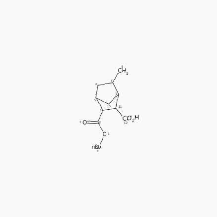 CCCCOC(=O)C1C2CC(C)C(C2)C1C(=O)O